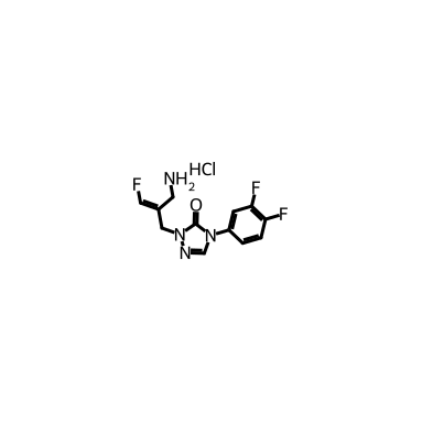 Cl.NC/C(=C\F)Cn1ncn(-c2ccc(F)c(F)c2)c1=O